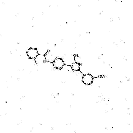 COc1cccc(-c2cc(-c3ccc(NC(=O)c4ccccc4F)nc3)n(C)n2)c1